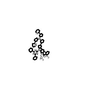 CC1(C)c2ccccc2-c2cc3c4cc(-c5cccc(N(c6cccc(-c7ccccn7)c6)c6cccc(-c7ccccn7)c6)c5)ccc4n(-c4nc(-c5ccccc5)nc(-c5ccccc5)n4)c3cc21